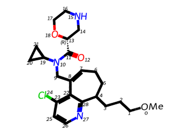 COCCCC1CCC=C(CN(C(=O)[C@H]2CNCCO2)C2CC2)c2c(Cl)ccnc21